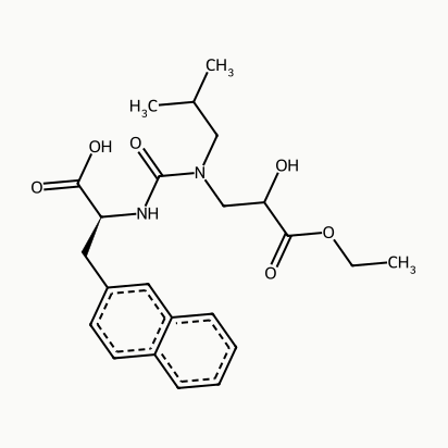 CCOC(=O)C(O)CN(CC(C)C)C(=O)N[C@@H](Cc1ccc2ccccc2c1)C(=O)O